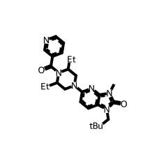 CCC1CN(c2ccc3c(n2)n(C)c(=O)n3CC(C)(C)C)CC(CC)N1C(=O)c1cccnc1